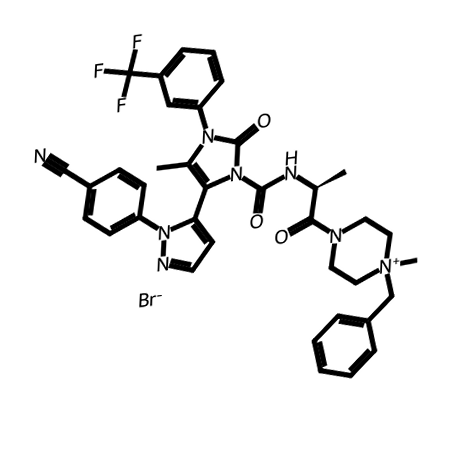 Cc1c(-c2ccnn2-c2ccc(C#N)cc2)n(C(=O)N[C@@H](C)C(=O)N2CC[N+](C)(Cc3ccccc3)CC2)c(=O)n1-c1cccc(C(F)(F)F)c1.[Br-]